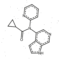 O=C(C1CC1)N(c1ccccn1)c1cncc2[nH]ccc12